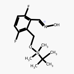 CC(C)(C)[Si](C)(C)OCc1c(F)ccc(F)c1/C=N/O